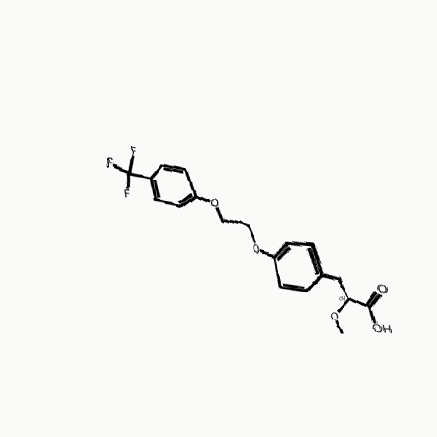 CO[C@@H](Cc1ccc(OCCOc2ccc(C(F)(F)F)cc2)cc1)C(=O)O